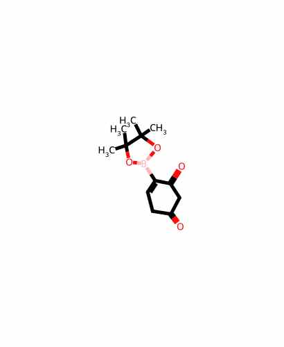 CC1(C)OB(C2=CCC(=O)CC2=O)OC1(C)C